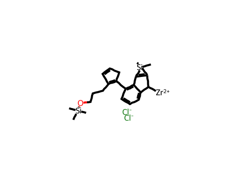 C[Si](C)(C)OCCCC1=C(c2cccc3c2C2=C([CH]3[Zr+2])[Si]2(C)C)CC=C1.[Cl-].[Cl-]